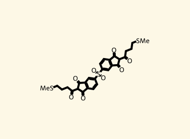 CSCCCC(=O)C1C(=O)c2ccc(S(=O)(=O)c3ccc4c(c3)C(=O)C(C(=O)CCCSC)C4=O)cc2C1=O